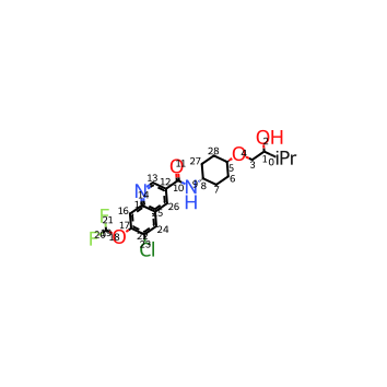 CC(C)C(O)CO[C@H]1CC[C@H](NC(=O)c2cnc3cc(OC(F)F)c(Cl)cc3c2)CC1